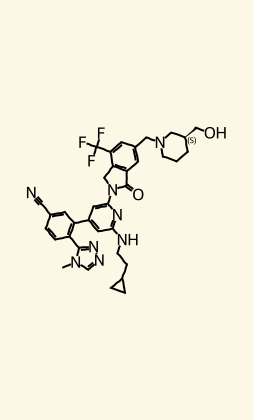 Cn1cnnc1-c1ccc(C#N)cc1-c1cc(NCCC2CC2)nc(N2Cc3c(cc(CN4CCC[C@H](CO)C4)cc3C(F)(F)F)C2=O)c1